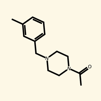 CC(=O)N1CCN(Cc2cccc(C)c2)CC1